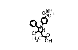 C[C@@H](C(=O)O)c1nn(-c2ccc(S(N)(=O)=O)cc2)c(-c2ccccc2)c1Cl